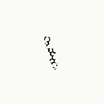 Cc1c(-c2cc3cc(Nc4cc5n(n4)CC(=O)NCC5)ncc3c(N)n2)cnc2c1NCS(=O)(=O)CO2